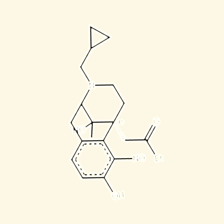 CCC(=O)C[C@]12CCN(CC3CC3)C(Cc3ccc(O)c(N=O)c31)C2(C)O